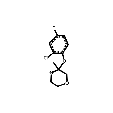 CC1(Oc2ccc(F)cc2Cl)COCC[N]1